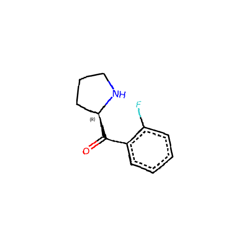 O=C(c1ccccc1F)[C@H]1CCCN1